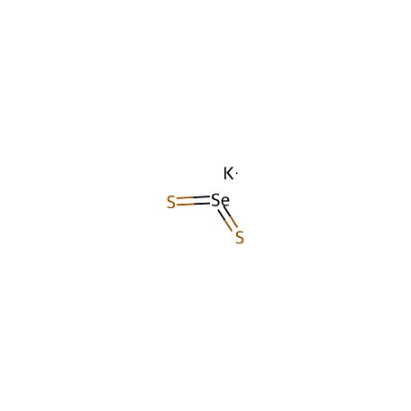 S=[Se]=S.[K]